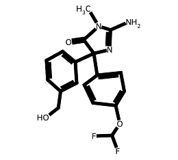 CN1C(=O)C(c2ccc(OC(F)F)cc2)(c2cccc(CO)c2)N=C1N